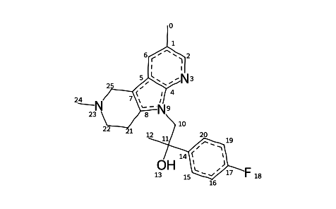 Cc1cnc2c(c1)c1c(n2CC(C)(O)c2ccc(F)cc2)CCN(C)C1